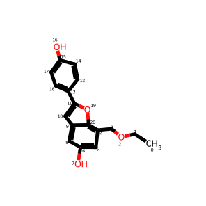 CCOCc1cc(O)cc2cc(-c3ccc(O)cc3)oc12